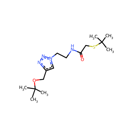 CC(C)(C)OCc1cn(CCNC(=O)CSC(C)(C)C)nn1